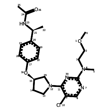 COCCN(C)c1ncc(Cl)c(N2CC[C@@H](Oc3ccc([C@H](C)NC(C)=O)cc3)C2)n1